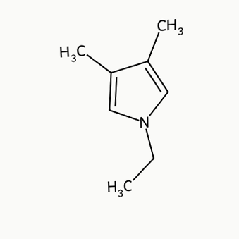 CCn1cc(C)c(C)c1